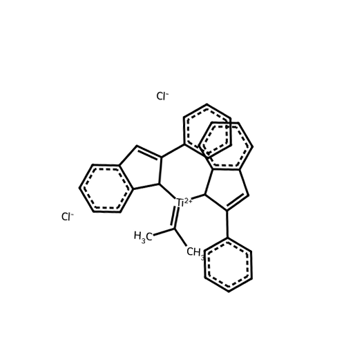 C[C](C)=[Ti+2]([CH]1C(c2ccccc2)=Cc2ccccc21)[CH]1C(c2ccccc2)=Cc2ccccc21.[Cl-].[Cl-]